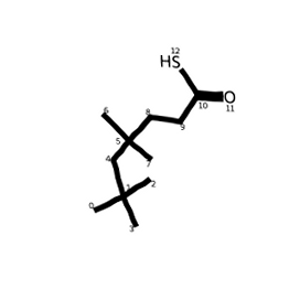 CC(C)(C)CC(C)(C)CCC(=O)S